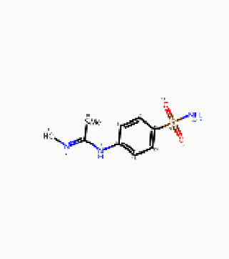 CS/C(=N\C#N)Nc1ccc(S(N)(=O)=O)cc1